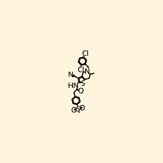 CC1Cc2sc(NC(=O)Cc3ccc(S(C)(=O)=O)cc3)c(C#N)c2CN1Cc1cc(Cl)ccc1Cl